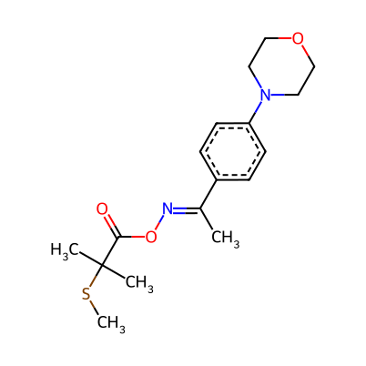 CSC(C)(C)C(=O)O/N=C(\C)c1ccc(N2CCOCC2)cc1